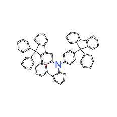 c1ccc(-c2ccccc2N(c2ccc(C3(c4ccccc4)c4ccccc4-c4ccccc43)cc2)c2ccc3c(c2)-c2ccccc2C3(c2ccccc2)c2ccccc2)cc1